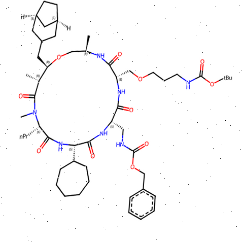 CCC[C@H]1C(=O)N[C@@H](C2CCCCCC2)C(=O)N[C@@H](CNC(=O)OCc2ccccc2)C(=O)N[C@@H](COCCCNC(=O)OC(C)(C)C)C(=O)N[C@H](C)CO[C@H](CC2C[C@H]3CC[C@@H](C2)C3)[C@@H](C)C(=O)N1C